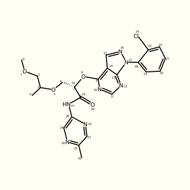 COCC(C)OC[C@H](Oc1ncnc2c1cnn2-c1ccccc1Cl)C(=O)Nc1cnc(C)cn1